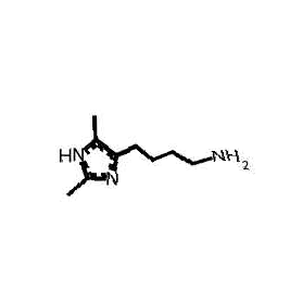 Cc1nc(CCCCN)c(C)[nH]1